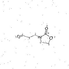 O=CCCN1CCOC1=O